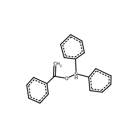 C=C(O[SiH](c1ccccc1)c1ccccc1)c1ccccc1